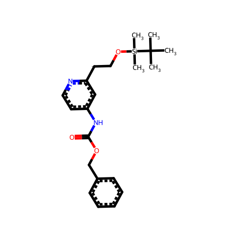 CC(C)(C)[Si](C)(C)OC[CH]c1cc(NC(=O)OCc2ccccc2)ccn1